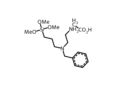 CC(=O)O.CO[Si](CCCN(CCN)Cc1ccccc1)(OC)OC